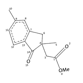 COC(=O)CC1(C)Cc2cc(C)ccc2C1=O